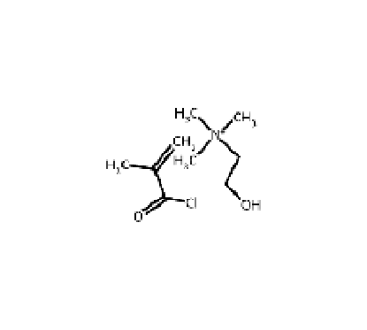 C=C(C)C(=O)Cl.C[N+](C)(C)CCO